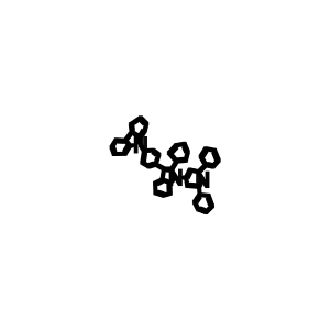 c1ccc(-c2cc(-n3c(-c4ccccc4)c(-c4ccc(-n5c6ccccc6c6ccccc65)cc4)c4ccccc43)cc(-c3ccccc3)n2)cc1